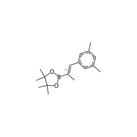 C/C(=C\c1cc(C)cc(C)c1)B1OC(C)(C)C(C)(C)O1